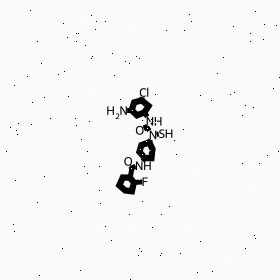 Nc1cc(Cl)cc(NC(=O)N(S)c2ccc(NC(=O)c3ccccc3F)cc2)c1